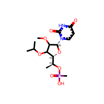 COC1C(OC(C)C)[C@@H]([C@H](C)OP(C)(=O)O)O[C@H]1n1ccc(=O)[nH]c1=O